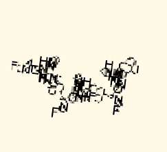 Cc1cccc2cccc(-c3cnc4c(N5CC6CCC(C5)N6)nc(OCC5(CN6CC[C@@H](F)C6)CC5c5ccc(C)c6c(-c7ccc8c(N9CC%10CCC(C9)N%10)nc(OCC9(CN%10CC[C@@H](F)C%10)CC9c9ccc(C)c%10c(-c%11ncc%12c(N%13CC%14CCC(C%13)N%14)nc(OCC%13(CN%14CC[C@@H](F)C%14)CC%13)nc%12n%11)cccc9%10)nc8n7)cccc56)nc4c3)c12